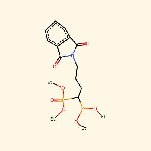 CCOP(OCC)C(CCCN1C(=O)c2ccccc2C1=O)P(=O)(OCC)OCC